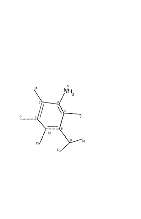 Cc1c(C)c(N)c(C)c(C(C)C)c1C